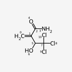 C=C(C(N)=O)C(O)C(Cl)(Cl)Cl